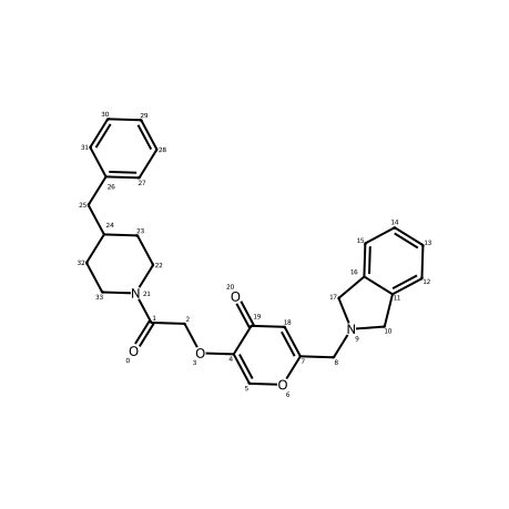 O=C(COc1coc(CN2Cc3ccccc3C2)cc1=O)N1CCC(Cc2ccccc2)CC1